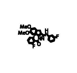 COc1cc2c(cc1OC)-c1c(c(Nc3cccc(F)c3)nn1C(=O)c1c(F)cccc1F)C2